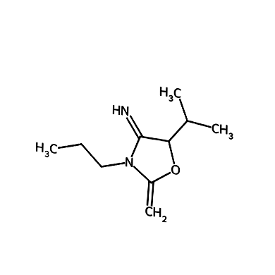 C=C1OC(C(C)C)C(=N)N1CCC